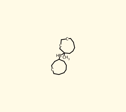 CC1(BC2CCCCCCCCC2)CCCCCCCCC1